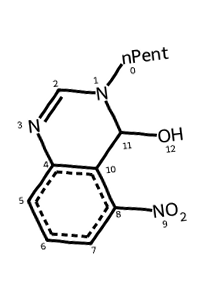 CCCCCN1C=Nc2cccc([N+](=O)[O-])c2C1O